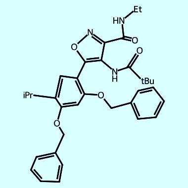 CCNC(=O)c1noc(-c2cc(C(C)C)c(OCc3ccccc3)cc2OCc2ccccc2)c1NC(=O)C(C)(C)C